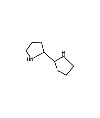 C1CNC(C2NCCS2)C1